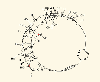 OC[C@H]1O[C@@H]2O[C@H]3C(O)C(O)[C@@H]4O[C@@H]3COCc3ccc(cc3)-c3ccc(cc3)COC[C@H]3O[C@H](O[C@H]5C(O)C(O)[C@H](O[C@@H]5CO)O[C@H]5C(O)C(O)[C@H](O[C@@H]5CO)O[C@H]1C(O)C2O)C(O)C(O)[C@@H]3O[C@@H]1O[C@H](CO)[C@@H](O[C@H]2O[C@H](CO)[C@@H](O4)C(O)C2O)C(O)C1O